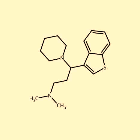 CN(C)CCC(c1csc2ccccc12)N1CCCCC1